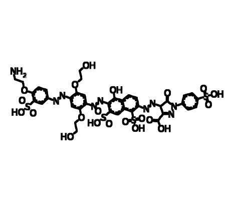 NCCOc1ccc(/N=N/c2cc(OCCO)c(/N=N/c3c(S(=O)(=O)O)cc4c(S(=O)(=O)O)c(/N=N/C5C(=O)N(c6ccc(S(=O)(=O)O)cc6)N=C5C(=O)O)ccc4c3O)cc2OCCO)cc1S(=O)(=O)O